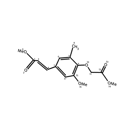 COC(=O)/C=C/c1cc(C)c(OCC(=O)OC)c(OC)c1